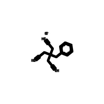 C#CC[N+](CC#C)(CC#C)Cc1ccccc1.[Cl-]